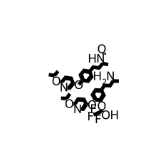 CC(CCc1ccc(Oc2ccc(OC(C)C)nc2)cc1)NC=O.CC(N)CCc1ccc(Oc2ccc(OC(C)C)nc2)cc1.O=C(O)C(F)(F)F